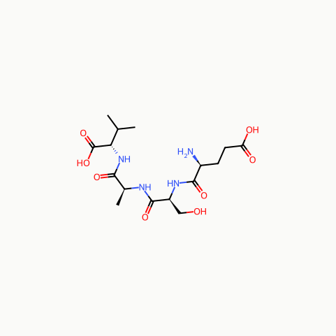 CC(C)[C@H](NC(=O)[C@H](C)NC(=O)[C@H](CO)NC(=O)[C@@H](N)CCC(=O)O)C(=O)O